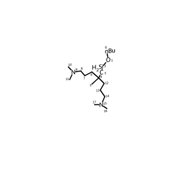 CCCCO[SiH2]CC(C)(CCCN(C)C)CCCN(C)C